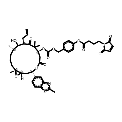 C=CC[C@H]1C(=O)C(C)(C)[C@@H](OC(=O)OCc2ccc(OC(=O)CCCN3C(=O)C=CC3=O)cc2)CC(=O)O[C@H](c2ccc3sc(C)nc3c2)C[C@@H]2O[C@]2(C)CCC[C@H](C)C1O